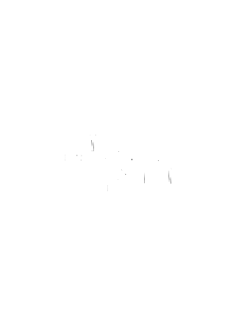 Cl.NC(=O)CCC(N)(O)c1ccccc1